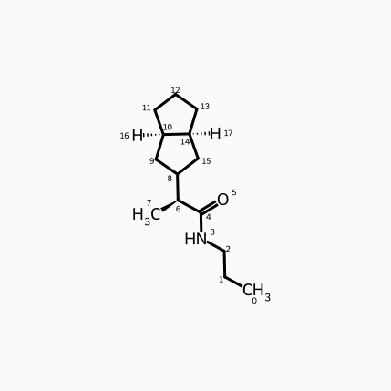 CCCNC(=O)[C@@H](C)C1C[C@H]2CCC[C@H]2C1